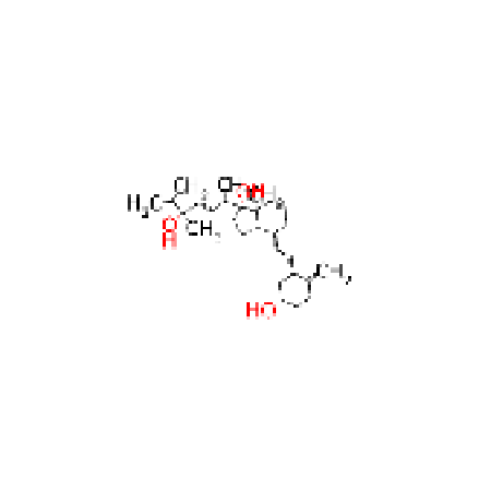 C=C1CC[C@H](O)CC1=CC=C1CCC[C@@]2(C)C1CC[C@]2(O)[C@H](C)/C=C/[C@@](C)(O)C(C)C